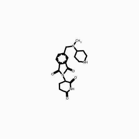 CN(Cc1ccc2c(c1)C(=O)N(C1CCC(=O)NC1=O)C2=O)C1CCNCC1